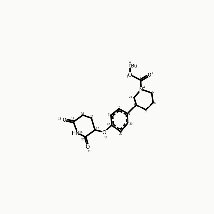 CC(C)(C)OC(=O)N1CCCC(c2ccc(OC3CCC(=O)NC3=O)cc2)C1